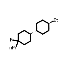 CCCC1(F)CCC([C@H]2CC[C@H](CC)CC2)CC1